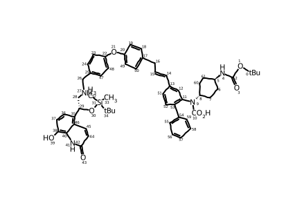 CC(C)(C)OC(=O)N[C@H]1CC[C@H](N(C(=O)O)c2cc(C=CCc3ccc(Oc4ccc(CNC[C@H](O[Si](C)(C)C(C)(C)C)c5ccc(O)c6[nH]c(=O)ccc56)cc4)cc3)ccc2-c2ccccc2)CC1